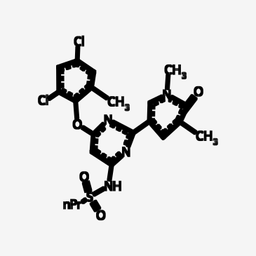 CCCS(=O)(=O)Nc1cc(Oc2c(C)cc(Cl)cc2Cl)nc(-c2cc(C)c(=O)n(C)c2)n1